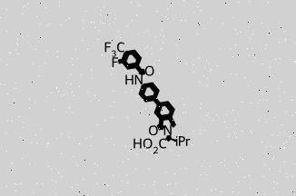 CC(C)[C@@H](C(=O)O)N1Cc2ccc(-c3ccc(NC(=O)c4ccc(C(F)(F)F)c(F)c4)cc3)cc2C1=O